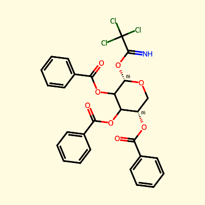 N=C(O[C@@H]1OC[C@H](OC(=O)c2ccccc2)C(OC(=O)c2ccccc2)C1OC(=O)c1ccccc1)C(Cl)(Cl)Cl